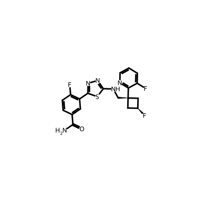 NC(=O)c1ccc(F)c(-c2nnc(NC[C@]3(c4ncccc4F)C[C@H](F)C3)s2)c1